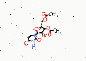 CC(=O)OC[C@H]1O[C@@H](n2ccc(=O)[nH]c2=O)[C@@H](Br)[C@@H]1OC(C)=O